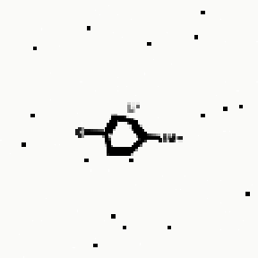 COc1ccc([O-])cc1.[Li+]